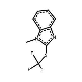 Cn1c(SC(F)(F)F)nc2ccccc21